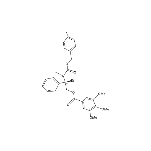 CC[C@@](COC(=O)c1cc(OC)c(OC)c(OC)c1)(c1ccccc1)N(C)C(=O)OCc1ccc(C)cc1